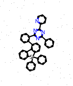 c1ccc(-c2nc(-c3ccccn3)nc(-c3ccccc3-c3cccc4c3-c3ccccc3[Si]4(c3ccccc3)c3ccccc3)n2)cc1